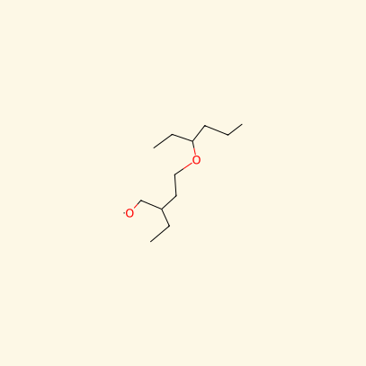 CCCC(CC)OCCC(CC)C[O]